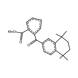 COC(=O)c1ccccc1C(=O)c1ccc2c(c1)C(C)(C)CCC2(C)C